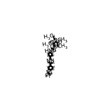 CCCO[C@@H]1[C@@H](OC)[C@H](C)O[C@@H](OC(=O)Nc2ccc(-c3ncc(-c4ccc(OC(F)(F)F)cc4)cn3)cc2)[C@@H]1OC